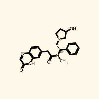 CN(C(=O)Cc1ccc2ncc(=O)[nH]c2c1)[C@H](CN1CCC(O)C1)c1ccccc1